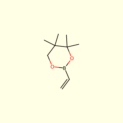 C=CB1OCC(C)(C)C(C)(C)O1